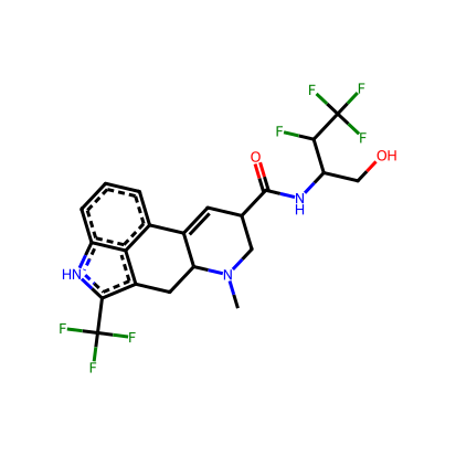 CN1CC(C(=O)NC(CO)C(F)C(F)(F)F)C=C2c3cccc4[nH]c(C(F)(F)F)c(c34)CC21